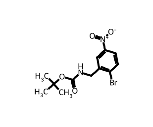 CC(C)(C)OC(=O)NCc1cc([N+](=O)[O-])ccc1Br